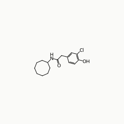 O=C(Cc1ccc(O)c(Cl)c1)NC1CCCCCCC1